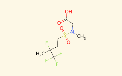 CN(CC(=O)O)S(=O)(=O)CCC(C)(F)C(F)(F)F